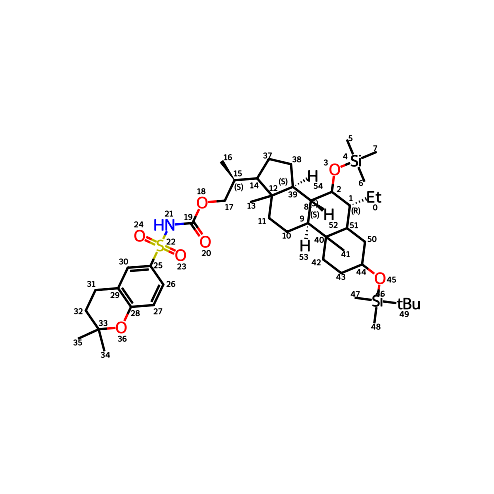 CC[C@H]1C(O[Si](C)(C)C)[C@@H]2[C@H](CCC3(C)C([C@H](C)COC(=O)NS(=O)(=O)c4ccc5c(c4)CCC(C)(C)O5)CC[C@@H]23)C2(C)CCC(O[Si](C)(C)C(C)(C)C)CC12